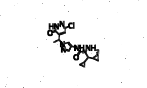 CC(c1cc(Cl)n[nH]c1=O)n1cc(NC(=O)[C@@H](N)C(C2CC2)C2CC2)cn1